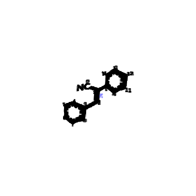 N#C/C(=C\c1ccccc1)c1ccccc1